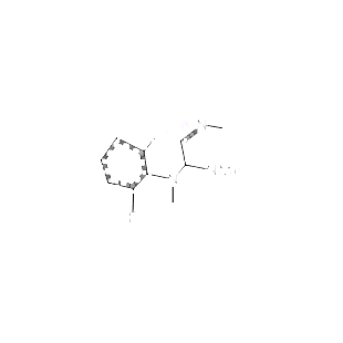 C/N=C\C(NC)N(C)c1c(F)cccc1S